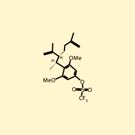 C=C(C)CC[C@@H](C(=C)C)[C@@H](C)c1c(OC)cc(OS(=O)(=O)C(F)(F)F)cc1OC